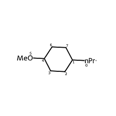 CC[CH]C1CCC(OC)CC1